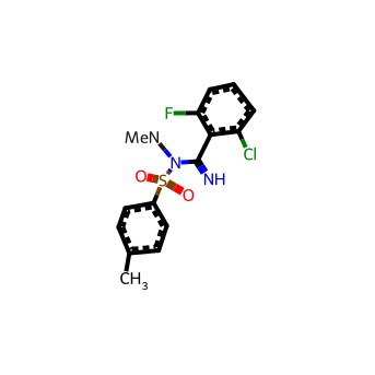 CNN(C(=N)c1c(F)cccc1Cl)S(=O)(=O)c1ccc(C)cc1